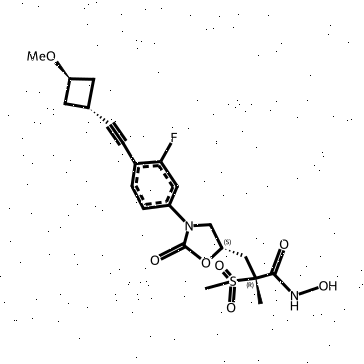 CO[C@H]1C[C@H](C#Cc2ccc(N3C[C@H](C[C@](C)(C(=O)NO)S(C)(=O)=O)OC3=O)cc2F)C1